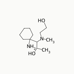 CC(O)C(N(C)CCO)C1(N)CCCCC1